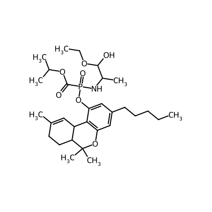 CCCCCc1cc2c(c(OP(=O)(NC(C)C(O)OCC)C(=O)OC(C)C)c1)C1C=C(C)CCC1C(C)(C)O2